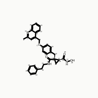 Cc1cc(COc2ccc(C[C@]3(C(=O)NCCc4ccccc4)C[C@@H]3C(=O)NO)cc2)c2ccccc2n1